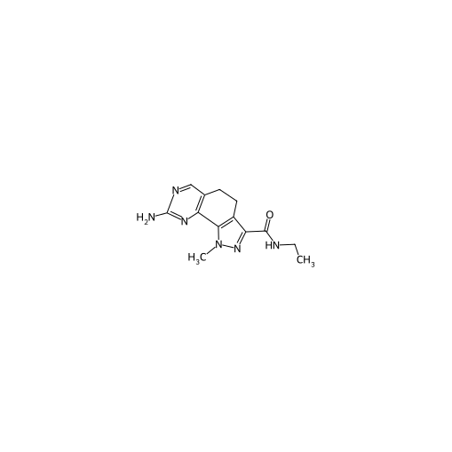 CCNC(=O)c1nn(C)c2c1CCc1cnc(N)nc1-2